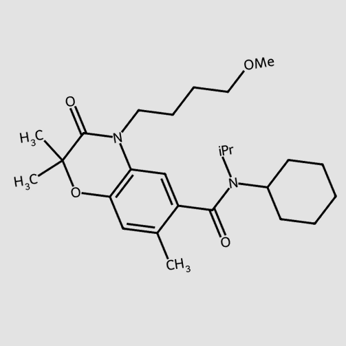 COCCCCN1C(=O)C(C)(C)Oc2cc(C)c(C(=O)N(C(C)C)C3CCCCC3)cc21